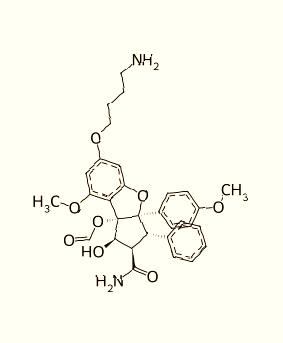 COc1ccc([C@@]23Oc4cc(OCCCCN)cc(OC)c4[C@]2(OC=O)[C@H](O)[C@H](C(N)=O)[C@H]3c2ccccc2)cc1